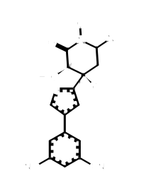 C[C@H]1C(=O)N(C)C(N)C[C@]1(C)c1cc(-c2cc(C#N)cc(C#N)c2)cs1